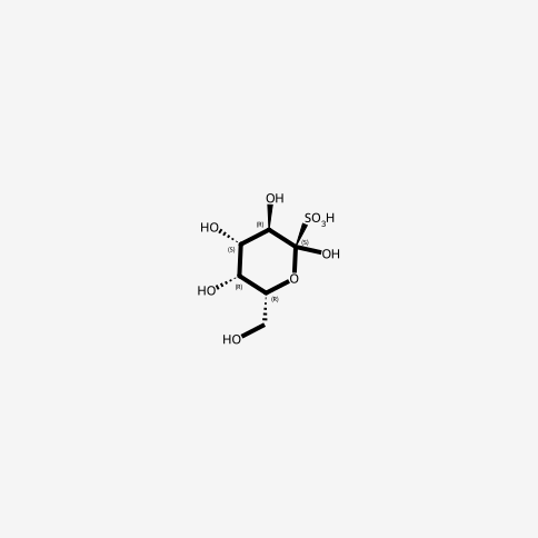 O=S(=O)(O)[C@@]1(O)O[C@H](CO)[C@H](O)[C@H](O)[C@H]1O